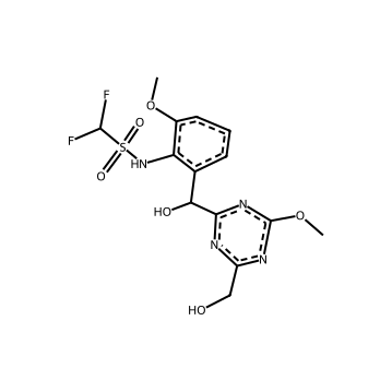 COc1nc(CO)nc(C(O)c2cccc(OC)c2NS(=O)(=O)C(F)F)n1